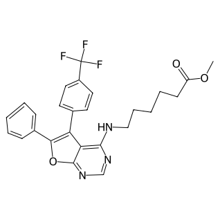 COC(=O)CCCCCNc1ncnc2oc(-c3ccccc3)c(-c3ccc(C(F)(F)F)cc3)c12